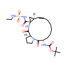 CCNS(=O)(=O)NC(=O)[C@@]12C[C@H]1/C=C\CCCCC[C@H](NC(=O)OC(C)(C)C)C(=O)N1CCC[C@H]1C(=O)N2